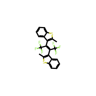 Cc1sc2ccccc2c1C(=C(c1c(C)sc2ccccc12)C(F)(F)F)C(F)(F)F